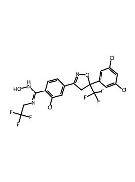 ON/C(=N\CC(F)(F)F)c1ccc(C2=NOC(c3cc(Cl)cc(Cl)c3)(C(F)(F)F)C2)cc1Cl